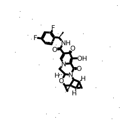 C[C@@H](NC(=O)c1cn2c(c(O)c1=O)C(=O)N1C3[C@H]4C[C@H]4[C@@]34CC4O[C@H]1C2)c1ccc(F)cc1F